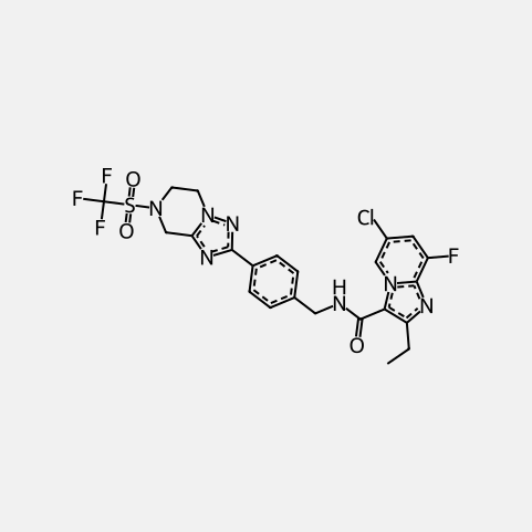 CCc1nc2c(F)cc(Cl)cn2c1C(=O)NCc1ccc(-c2nc3n(n2)CCN(S(=O)(=O)C(F)(F)F)C3)cc1